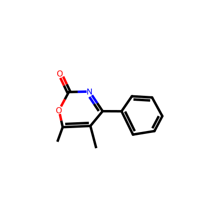 Cc1oc(=O)nc(-c2ccccc2)c1C